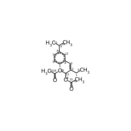 CCC(=Cc1cccc(C(C)C)c1)C(OC(C)=O)OC(C)=O